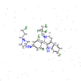 C[C@@H]1Cc2c([nH]c3cc(F)ccc23)[C@@H](C2C(F)=CC(N[C@H]3CCN(CCCF)C3)=CC2F)N1CC(F)(F)CF